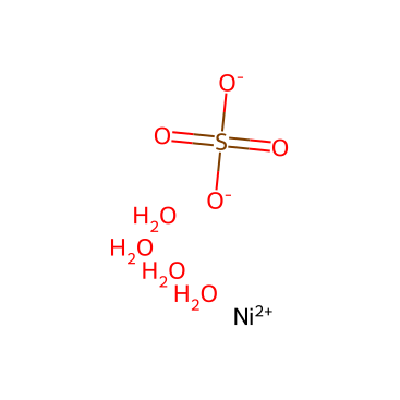 O.O.O.O.O=S(=O)([O-])[O-].[Ni+2]